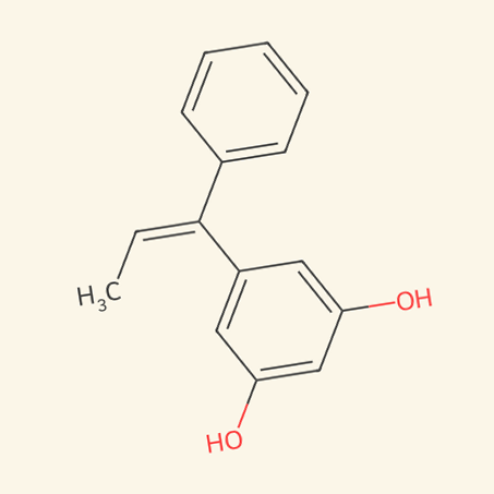 CC=C(c1ccccc1)c1cc(O)cc(O)c1